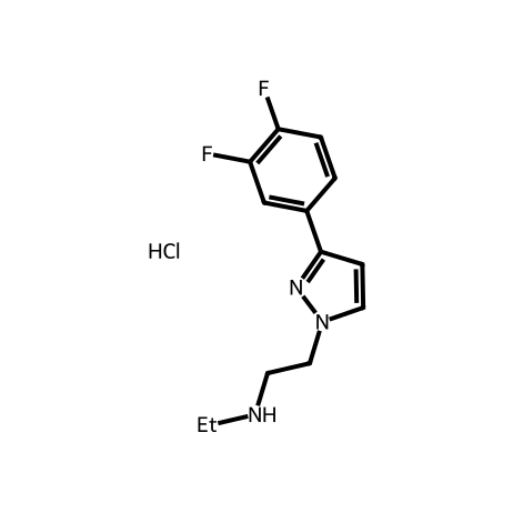 CCNCCn1ccc(-c2ccc(F)c(F)c2)n1.Cl